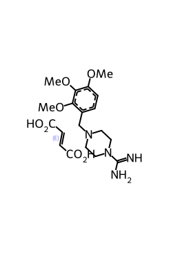 COc1ccc(CN2CCN(C(=N)N)CC2)c(OC)c1OC.O=C(O)/C=C/C(=O)O